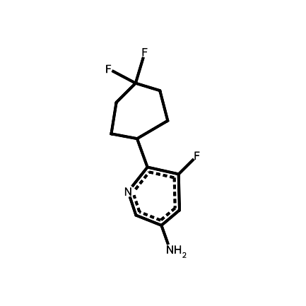 Nc1cnc(C2CCC(F)(F)CC2)c(F)c1